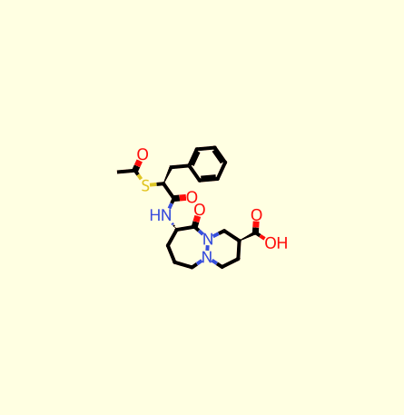 CC(=O)S[C@@H](Cc1ccccc1)C(=O)N[C@H]1CCCN2CC[C@H](C(=O)O)CN2C1=O